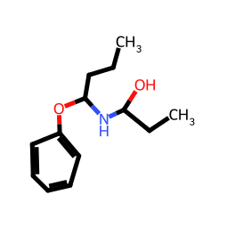 CCCC(NC(O)CC)Oc1ccccc1